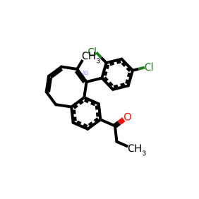 CCC(=O)c1ccc2c(c1)/C(c1ccc(Cl)cc1Cl)=C(/C)C=C=CC2